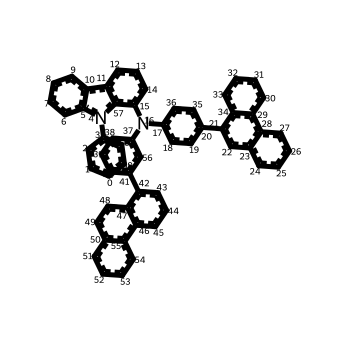 c1ccc(-n2c3ccccc3c3cccc(N(c4ccc(-c5cc6ccccc6c6ccccc56)cc4)c4cccc(-c5cccc6c5ccc5ccccc56)c4)c32)cc1